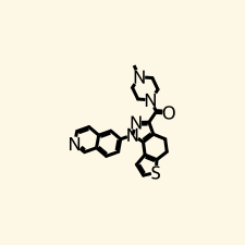 CN1CCN(C(=O)c2nn(-c3ccc4cnccc4c3)c3c2CCc2sccc2-3)CC1